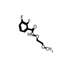 COCCONC(=O)c1cccc(F)c1F